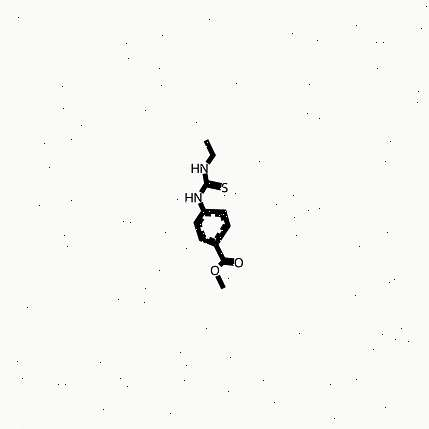 CCNC(=S)Nc1ccc(C(=O)OC)cc1